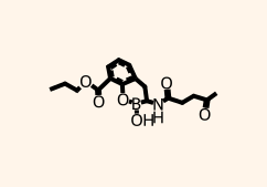 CCCOC(=O)c1cccc2c1OB(O)C(NC(=O)CCC(C)=O)C2